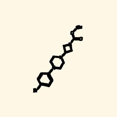 CC(C)(C)OC(=O)N1CC(N2CCN(c3ccc(Br)cc3)CC2)C1